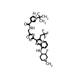 CN1CC[C@@H](Nc2cccn3c(CC(F)(F)F)c(-c4noc(CNC(=O)c5ccn(C(C)(C)C)c5)n4)nc23)[C@@H](F)C1